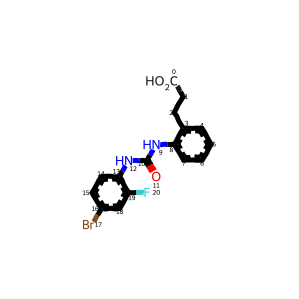 O=C(O)CCc1ccccc1NC(=O)Nc1ccc(Br)cc1F